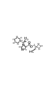 C#CC1(COC(=O)c2cncn2[C@H](C)c2ccccc2)CCC1